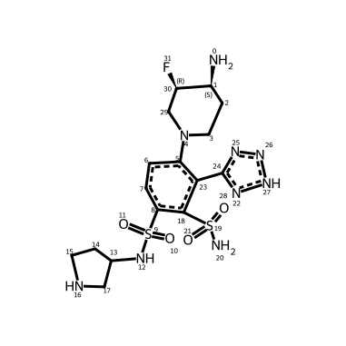 N[C@H]1CCN(c2ccc(S(=O)(=O)NC3CCNC3)c(S(N)(=O)=O)c2-c2nn[nH]n2)C[C@H]1F